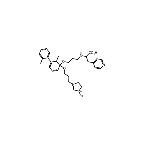 Cc1ccccc1C1=CC=CC(OCCCNC(Cc2ccncc2)C(=O)O)(OCCCN2CC[C@@H](O)C2)C1C